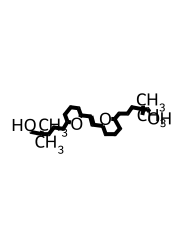 CC(C)(CO)CCCC1CCCC(C=CC2CCCC(CCCC(C)(C)CO)O2)O1